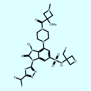 CCn1c(=O)n(-c2nnc(C(F)F)s2)c2cc(S(=O)(=O)NC3(CF)COC3)cc(N3CCN(C(=O)C4(OC)CN(C)C4)CC3)c21